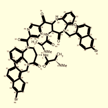 CN[C@@H](C)C(=O)N[C@H]1CN(C(=O)c2cnc(C(=O)C3Nc4ccccc4N(Cc4c(OC)ccc5cc(Br)ccc45)C(=O)[C@H]3NC(=O)[C@H](C)NC)cn2)c2ccccc2N(Cc2c(OC)ccc3cc(Br)ccc23)C1=O